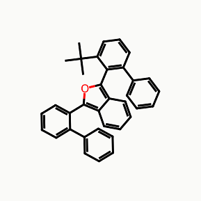 CC(C)(C)c1cccc(-c2ccccc2)c1-c1oc(-c2ccccc2-c2ccccc2)c2ccccc12